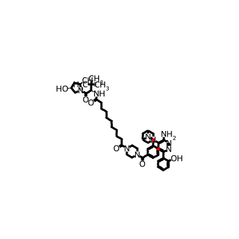 C[C@@H]1C[C@@H](O)CN1C(=O)[C@@H](NC(=O)CCCCCCCCCC(=O)N1CCN(C(=O)c2cccc(CN3C4CC3CN(c3cc(-c5ccccc5O)nnc3N)C4)c2)CC1)C(C)(C)C